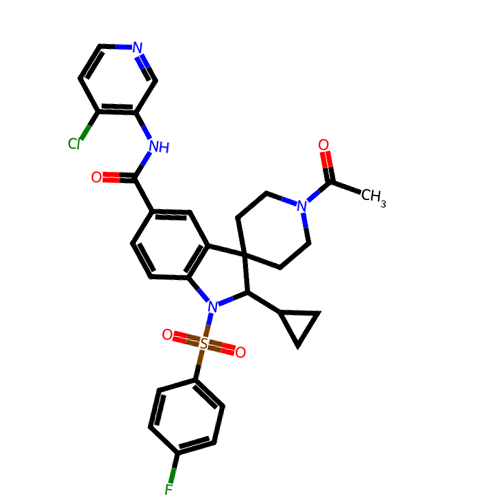 CC(=O)N1CCC2(CC1)c1cc(C(=O)Nc3cnccc3Cl)ccc1N(S(=O)(=O)c1ccc(F)cc1)C2C1CC1